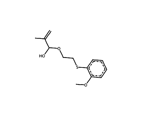 C=C(C)C(O)OCCSc1ccccc1OC